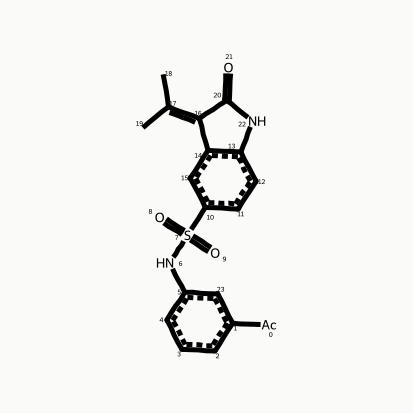 CC(=O)c1cccc(NS(=O)(=O)c2ccc3c(c2)C(=C(C)C)C(=O)N3)c1